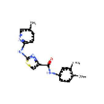 COc1ccc(NC(=O)c2csc(Nc3ccc(C)cn3)n2)cc1OC